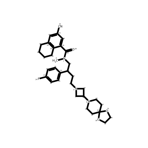 CN(CC(CCN1CC(N2CCC3(CC2)OCCO3)C1)c1ccc(F)cc1)C(=O)c1cc(C#N)cc2c1CCCC2